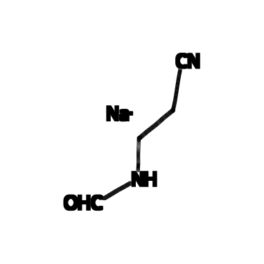 N#CCCNC=O.[Na]